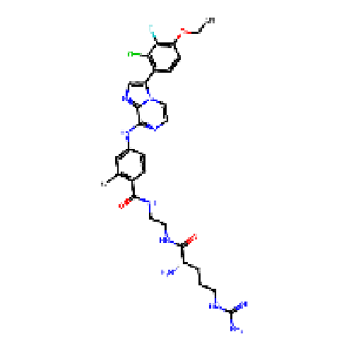 CCc1cc(Nc2nccn3c(-c4ccc(OCC#N)c(F)c4Cl)cnc23)ccc1C(=O)NCCNC(=O)[C@@H](N)CCCNC(=N)N